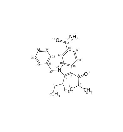 CCCc1c(C(=O)C(C)C)c2ccc(C(N)=O)cc2n1Cc1ccccc1